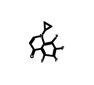 O=c1ccn(C2CC2)c2c(F)c(F)c(F)c(F)c12